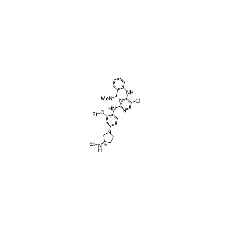 CCN[C@@H]1CCN(c2ccc(Nc3ncc(Cl)c(Nc4ccccc4CNC)n3)c(OCC)c2)C1